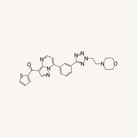 O=C(c1cccs1)c1cnn2c(-c3cccc(-c4nnn(CCN5CCOCC5)n4)c3)ccnc12